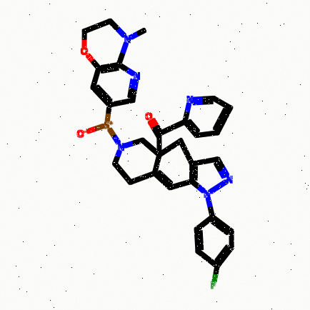 CN1CCOc2cc([S+]([O-])N3CCC4=Cc5c(cnn5-c5ccc(F)cc5)CC4(C(=O)c4ccccn4)C3)cnc21